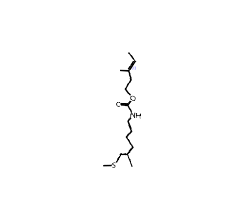 C/C=C(\C)CCOC(=O)NCCCCC(C)CSC